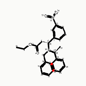 CCOC(=O)C[C@H](c1cccc([N+](=O)[O-])c1)N(Cc1ccccc1)[C@@H](C)c1ccccc1